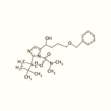 CN(C)S(=O)(=O)n1c(C(O)CCCOCc2ccccc2)cnc1[Si](C)(C)C(C)(C)C